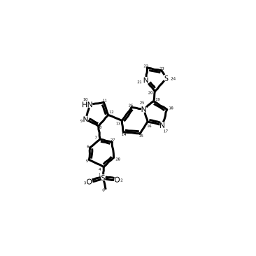 CS(=O)(=O)c1ccc(-c2n[nH]cc2-c2ccc3ncc(-c4nccs4)n3c2)cc1